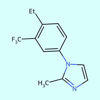 CCc1ccc(-n2ccnc2C)cc1C(F)(F)F